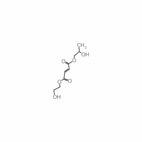 CC(O)COC(=O)C=CC(=O)OCCO